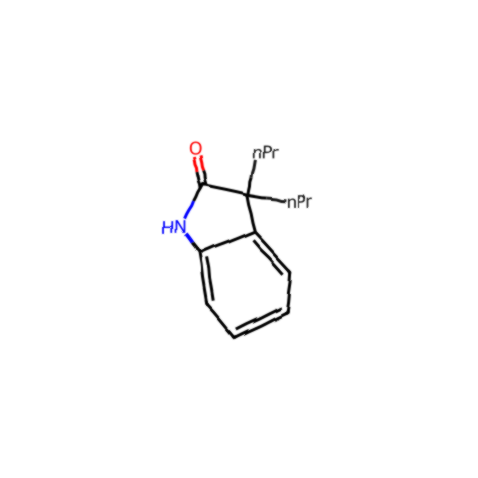 CCCC1(CCC)C(=O)Nc2ccccc21